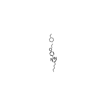 CCCCCc1cnc(-c2ccc(OCCC[C@H]3CC[C@H](CC)CC3)cc2)nc1